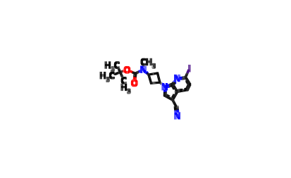 CN(C(=O)OC(C)(C)C)[C@H]1C[C@H](n2cc(C#N)c3ccc(I)nc32)C1